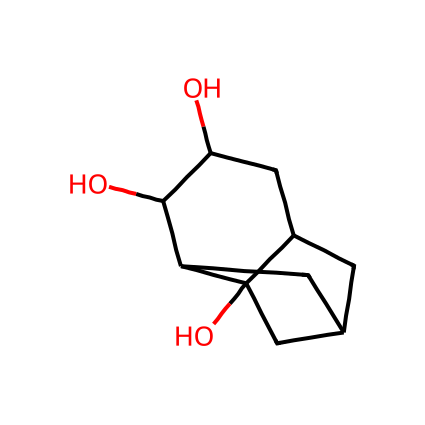 OC1CC2CC3CC(C1O)C2(O)C3